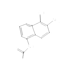 CC(=O)Nc1cccc2c(O)c(N)ccc12